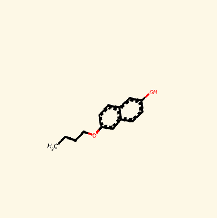 CCCCOc1ccc2cc(O)ccc2c1